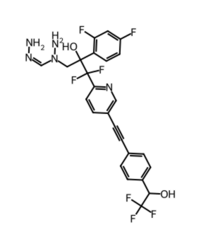 N/N=C\N(N)CC(O)(c1ccc(F)cc1F)C(F)(F)c1ccc(C#Cc2ccc(C(O)C(F)(F)F)cc2)cn1